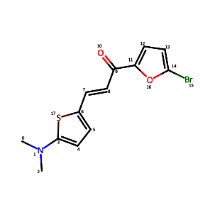 CN(C)c1ccc(/C=C/C(=O)c2ccc(Br)o2)s1